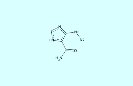 [CH2]CNc1nc[nH]c1C(N)=O